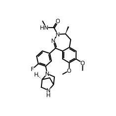 CNC(=O)N1N=C(c2ccc(F)c(N3CC4C[C@H]3CN4)c2)c2cc(OC)c(OC)cc2C[C@@H]1C